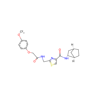 O=C(COc1ccc(OC(F)(F)F)cc1)NCc1nc(C(=O)N[C@@H]2C[C@H]3CC[C@@H]2C3)cs1